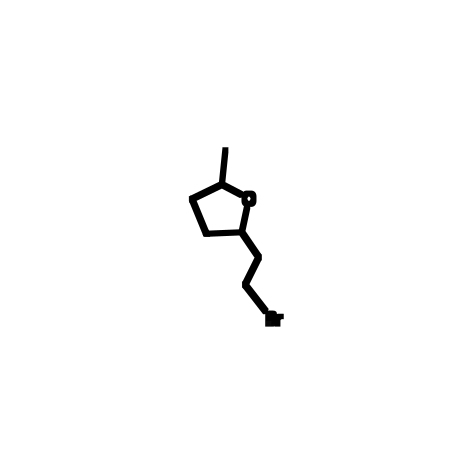 CC1CCC(CCBr)O1